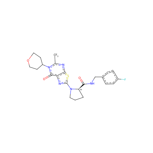 O=C(NCc1ccc(F)cc1)[C@H]1CCCN1c1nc2c(=O)n(C3CCOCC3)c(C(F)(F)F)nc2s1